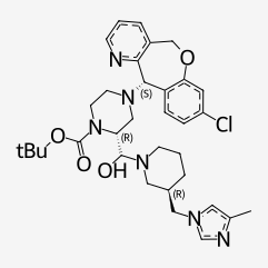 Cc1cn(C[C@@H]2CCCN(C(O)[C@H]3CN([C@H]4c5ccc(Cl)cc5OCc5cccnc54)CCN3C(=O)OC(C)(C)C)C2)cn1